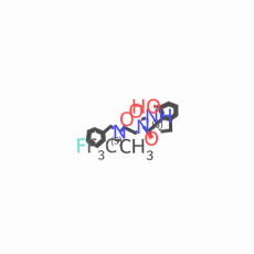 C[C@H](N(Cc1ccc(F)cc1)C(=O)CN1C(=O)N[C@]2(CCc3cccc(O)c32)C1=O)C(F)(F)F